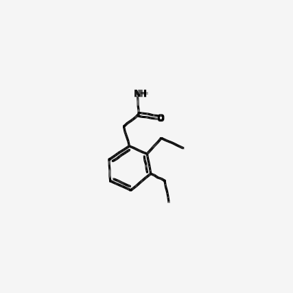 CCc1cccc(CC([NH])=O)c1CC